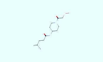 CCC(CCC(=O)NC1CCN(C(=O)COC(C)C)CC1)C(C)C